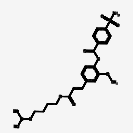 COc1cc(/C=C/C(=O)OCCCCON(O)O)ccc1OC(=O)c1ccc(S(N)(=O)=O)cc1